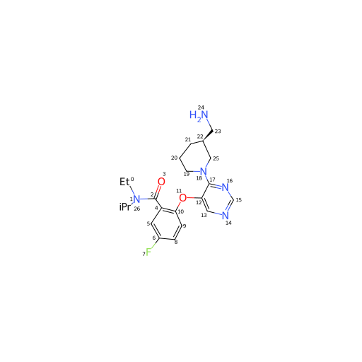 CCN(C(=O)c1cc(F)ccc1Oc1cncnc1N1CCC[C@@H](CN)C1)C(C)C